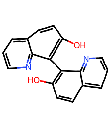 Oc1ccc2cccnc2c1-c1c(O)ccc2cccnc12